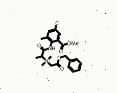 COC(=O)c1cc(Cl)cc(C)c1NC(=O)C(C)[N+](C)(C)CC(=O)OCc1ccccc1